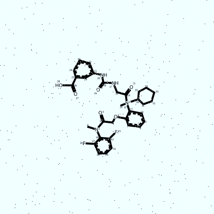 CN(C(=O)COc1ccccc1[N+](C)(C(=O)CNC(=O)Nc1cccc(C(=O)O)c1)C1CCCCC1)c1c(F)cccc1F